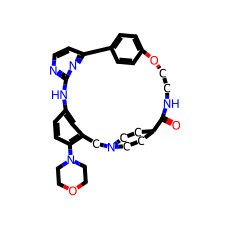 O=C1NCCOc2ccc(cc2)-c2ccnc(n2)Nc2ccc(N3CCOCC3)c(c2)CN2CCC1CC2